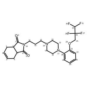 O=C1C2CC=CCC2C(=O)N1CCCN1CCN(c2ccccc2OCC(F)(F)C(F)F)CC1